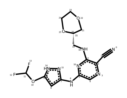 N#Cc1ncc(Nc2cc(OC(F)F)[nH]n2)nc1NC[C@H]1COCCO1